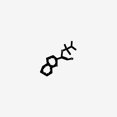 CC(C)[Si](C)(C)OC(=CBr)c1ccc2ccccc2n1